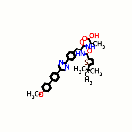 COc1ccc(-c2ccc(-c3cnc(-c4ccc(C[C@H](NC(=O)c5ccc(C(C)(C)C)s5)C(=O)N[C@H](C)C(=O)O)cc4)nc3)cc2)cc1